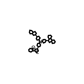 c1ccc2cc(-c3ccc(N(c4ccc(-c5cc6ccccc6c6ccccc56)cc4)c4ccc(-c5cccc6c5oc5ccccc56)cc4)cc3)ccc2c1